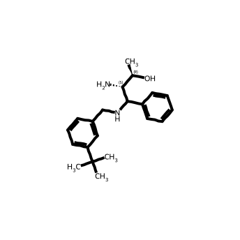 C[C@@H](O)[C@@H](N)C(NCc1cccc(C(C)(C)C)c1)c1ccccc1